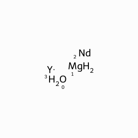 O.[MgH2].[Nd].[Y]